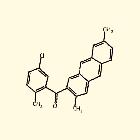 Cc1ccc2cc3cc(C)c(C(=O)c4cc(Cl)ccc4C)cc3cc2c1